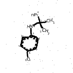 CCCC(C)(C)Nc1ccc(Cl)cc1